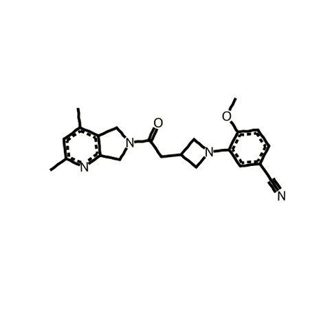 COc1ccc(C#N)cc1N1CC(CC(=O)N2Cc3nc(C)cc(C)c3C2)C1